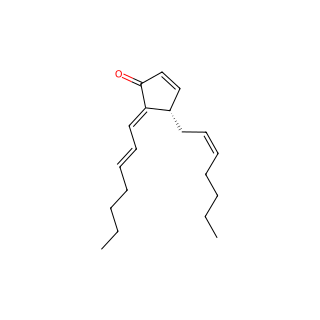 CCCC/C=C\C[C@H]1C=CC(=O)/C1=C/C=C/CCCC